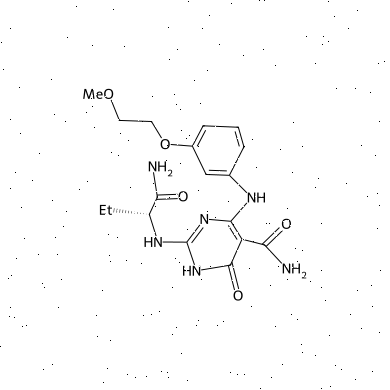 CC[C@@H](Nc1nc(Nc2cccc(OCCOC)c2)c(C(N)=O)c(=O)[nH]1)C(N)=O